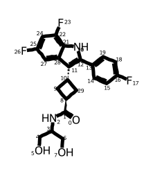 O=C(NC(CO)CO)[C@H]1C[C@H](c2c(-c3ccc(F)cc3)[nH]c3c(F)cc(F)cc32)C1